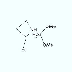 CCC1CCN1.CO[SiH2]OC